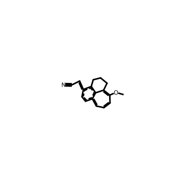 COC1=C2CCCc3c2c(ccc3=CC#N)=CC=C1